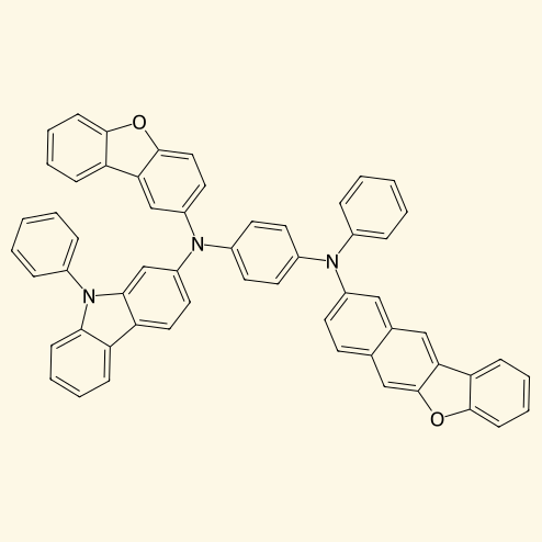 c1ccc(N(c2ccc(N(c3ccc4oc5ccccc5c4c3)c3ccc4c5ccccc5n(-c5ccccc5)c4c3)cc2)c2ccc3cc4oc5ccccc5c4cc3c2)cc1